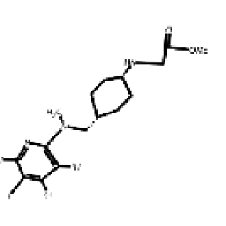 [2H]c1nc(N(C)C[C@H]2CC[C@H](NCC(=O)OC)CC2)c([2H])c([2H])c1I